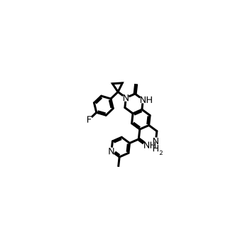 C=C1Nc2cc(CN)c(C(=N)c3ccnc(C)c3)cc2CN1C1(c2ccc(F)cc2)CC1